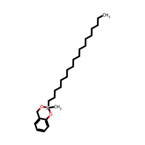 CCCCCCCCCCCCCCCCCC[Si]1(C)OCc2ccccc2O1